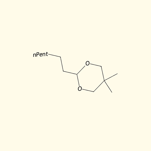 CCCCCCCC1OCC(C)(C)CO1